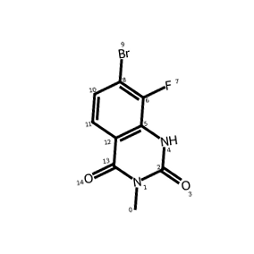 Cn1c(=O)[nH]c2c(F)c(Br)ccc2c1=O